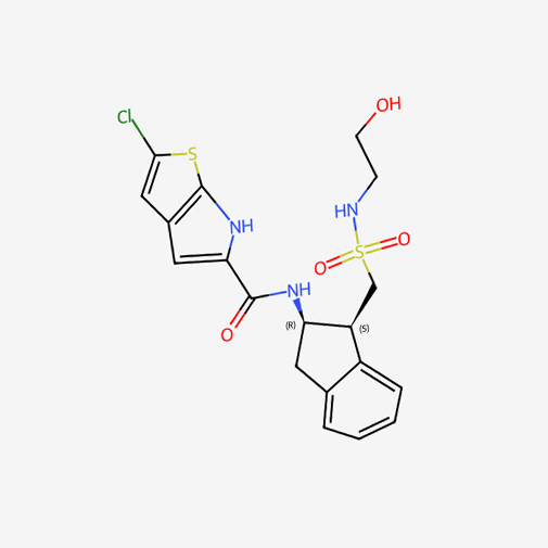 O=C(N[C@@H]1Cc2ccccc2[C@@H]1CS(=O)(=O)NCCO)c1cc2cc(Cl)sc2[nH]1